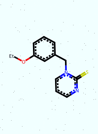 CCOc1cccc(Cn2cccnc2=S)c1